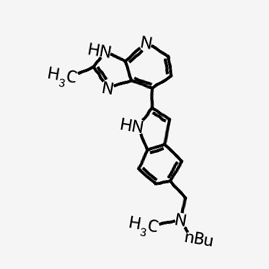 CCCCN(C)Cc1ccc2[nH]c(-c3ccnc4[nH]c(C)nc34)cc2c1